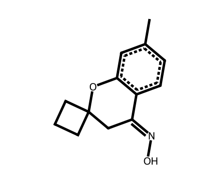 Cc1ccc2c(c1)OC1(CCC1)CC2=NO